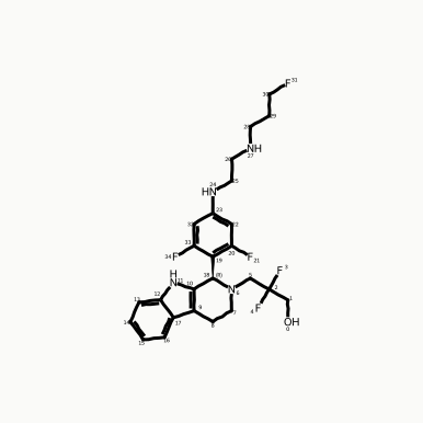 OCC(F)(F)CN1CCc2c([nH]c3ccccc23)[C@H]1c1c(F)cc(NCCNCCCF)cc1F